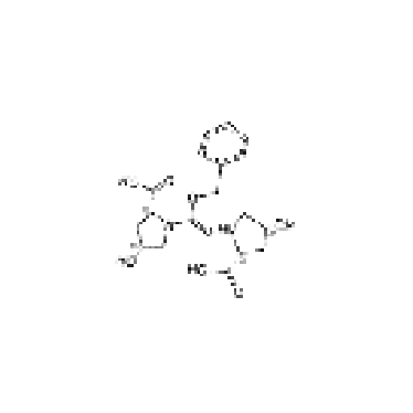 O=C(O)[C@H]1C[C@@H](O)CN1.O=C(O)[C@H]1C[C@@H](O)CN1C(=O)OCc1ccccc1